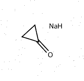 O=C1CC1.[NaH]